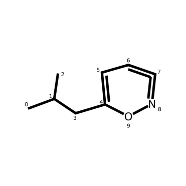 CC(C)CC1=CC=C=NO1